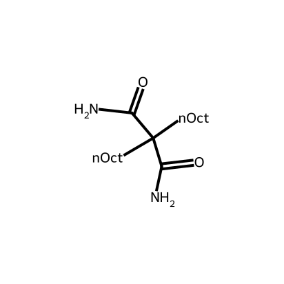 CCCCCCCCC(CCCCCCCC)(C(N)=O)C(N)=O